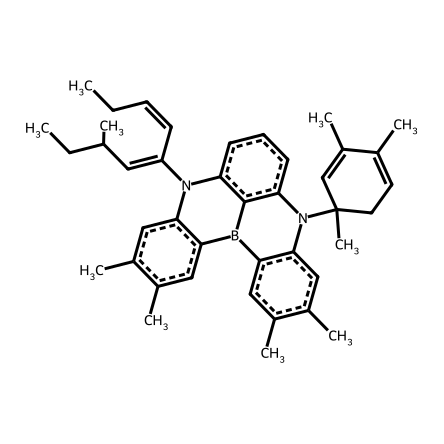 CC/C=C\C(=C/C(C)CC)N1c2cc(C)c(C)cc2B2c3cc(C)c(C)cc3N(C3(C)C=C(C)C(C)=CC3)c3cccc1c32